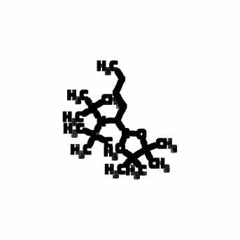 CCCCC(B1OC(C)(C)C(C)(C)O1)N([Si](C)(C)C)[Si](C)(C)C